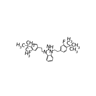 CC(C)(C)c1ccc(CCn2c(=N)n(CCc3ccc(C(C)(C)C)c(F)c3)c3ccccc32)cc1F